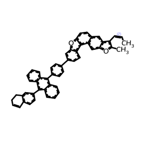 C/C=C\c1c(C)oc2cc3c(ccc4oc5cc(-c6ccc(-c7c8ccccc8c(-c8ccc9c(c8)CCC=C9)c8ccccc78)cc6)ccc5c43)cc12